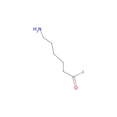 NCCCCCC(=O)I